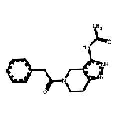 CC(=O)Nc1[nH]nc2c1CN(C(=O)Cc1ccccc1)CC2